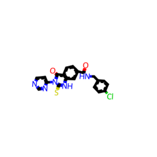 O=C(NCc1ccc(Cl)cc1)c1ccc2c(=O)n(-c3ccncn3)c(=S)[nH]c2c1